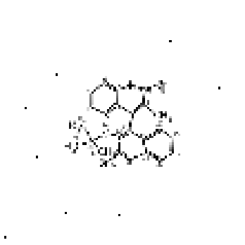 Cc1c(Br)cc2ccccc2c1-c1c(OC(C)(C)C)c(Br)cc2ccccc12